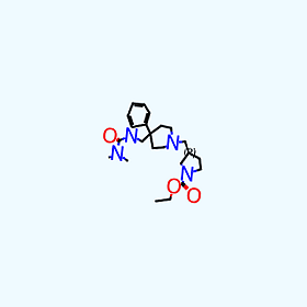 CCOC(=O)N1CC[C@H](CN2CCC3(CC2)CN(C(=O)N(C)C)c2ccccc23)C1